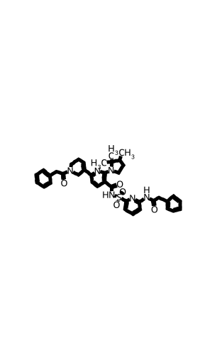 CC1CCN(c2nc(C3=CCCN(C(=O)Cc4ccccc4)C3)ccc2C(=O)NS(=O)(=O)c2cccc(NC(=O)Cc3ccccc3)n2)C1(C)C